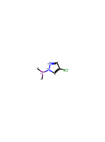 CP(C)n1cc(Cl)cn1